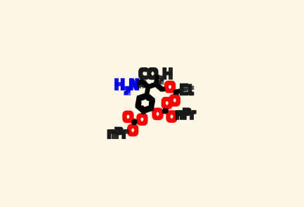 CCCOC(=O)Oc1ccc(C(C(C)COC(=O)CC)[C@H](N)C(=O)O)cc1OC(=O)OCCC